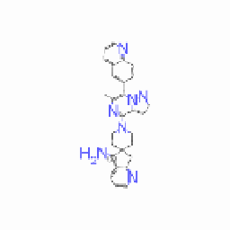 Cc1nc(N2CCC3(CC2)Cc2ncccc2[C@H]3N)c2ccnn2c1-c1ccc2ncccc2c1